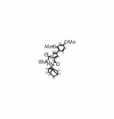 COc1ccc(-c2cc(C(=O)NC3C4CC5CC(C4)CC3C5)n(C(=O)OC(C)(C)C)c2)c(OC)c1